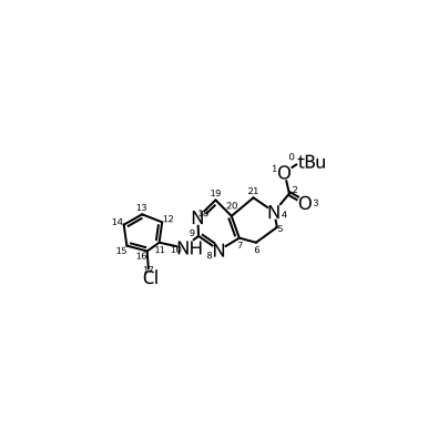 CC(C)(C)OC(=O)N1CCc2nc(Nc3ccccc3Cl)ncc2C1